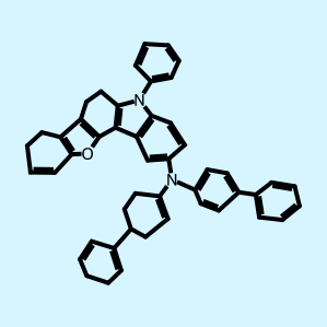 C1=CC(C2CC=C(N(c3ccc(-c4ccccc4)cc3)c3ccc4c(c3)c3c(n4-c4ccccc4)CCc4c-3oc3c4CCC=C3)CC2)=CCC1